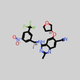 Cc1nc(N[C@H](C)c2cc([N+](=O)[O-])cc(C(F)(F)F)c2)c2cc(O[C@H]3CCOC3)c(C#N)cc2n1